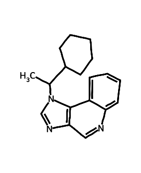 CC(C1CCCCC1)n1cnc2cnc3ccccc3c21